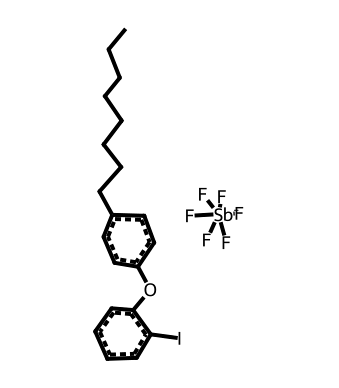 CCCCCCCCc1ccc(Oc2ccccc2I)cc1.[F][Sb-]([F])([F])([F])([F])[F]